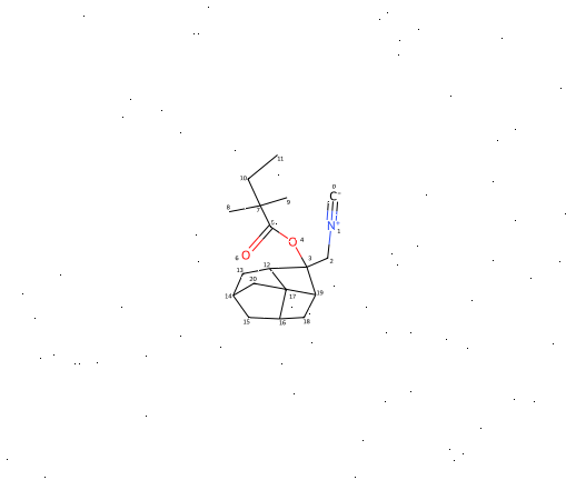 [C-]#[N+]CC1(OC(=O)C(C)(C)CC)C2CC3CC(C2)CC1C3